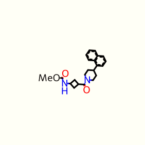 COC(=O)NC1CC(C(=O)N2CCC(c3cccc4ccccc34)CC2)C1